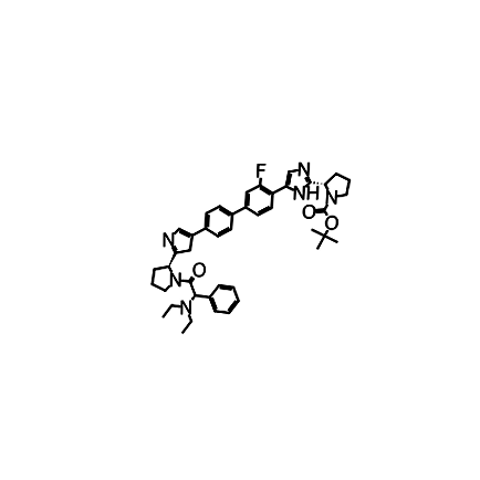 CCN(CC)[C@@H](C(=O)N1CCC[C@H]1C1=NC=C(c2ccc(-c3ccc(-c4cnc([C@@H]5CCCN5C(=O)OC(C)(C)C)[nH]4)c(F)c3)cc2)C1)c1ccccc1